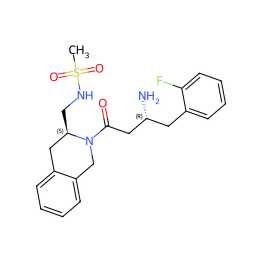 CS(=O)(=O)NC[C@@H]1Cc2ccccc2CN1C(=O)C[C@H](N)Cc1ccccc1F